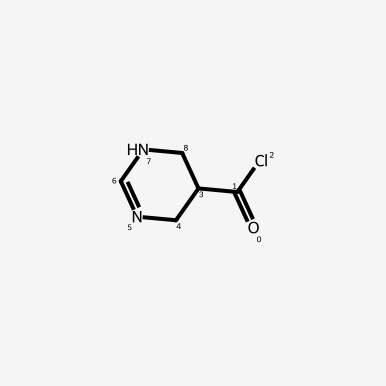 O=C(Cl)C1CN=CNC1